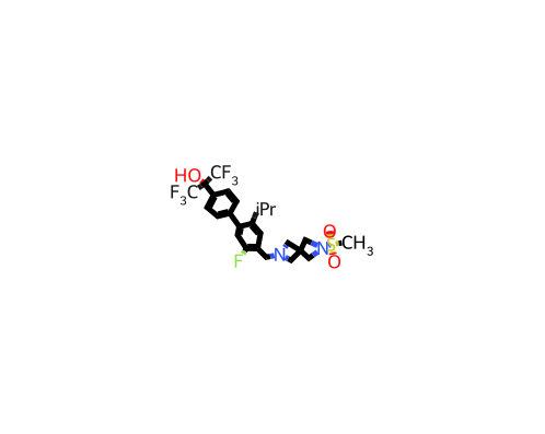 CC(C)c1cc(CN2CC3(C2)CN(S(C)(=O)=O)C3)c(F)cc1-c1ccc(C(O)(C(F)(F)F)C(F)(F)F)cc1